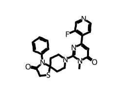 Cn1c(N2CCC3(CC2)SCC(=O)N3c2ccccc2)nc(-c2ccncc2F)cc1=O